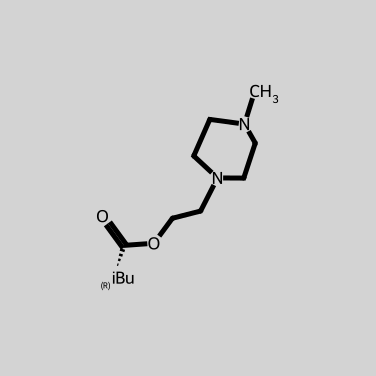 CC[C@@H](C)C(=O)OCCN1CCN(C)CC1